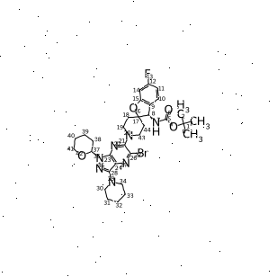 CC(C)(C)OC(=O)N[C@@H]1c2ccc(F)cc2OC12CCN(c1nc3c(nc1Br)c(N1CCCCC1)nn3C1CCCCO1)CC2